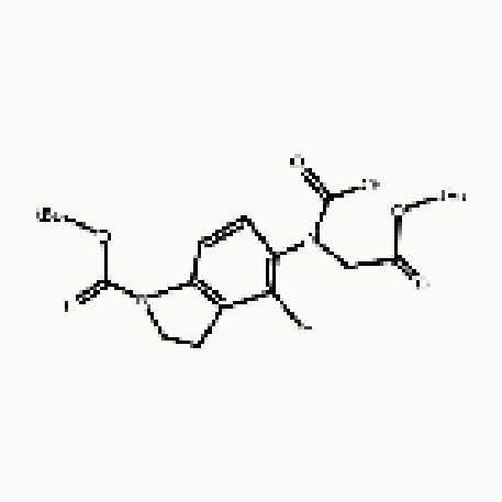 CC(C)(C)OC(=O)CN(C(=O)C(F)(F)F)c1ccc2c(c1F)CCN2C(=O)OC(C)(C)C